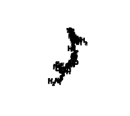 C[C@H](N)CCCc1cc(OC(F)(F)F)c(F)c(-c2cc3cn(-c4ccc([C@H](C)NCC[C@@H](CNCc5nccs5)NC(=N)N)cc4)c(=O)nc3[nH]2)c1